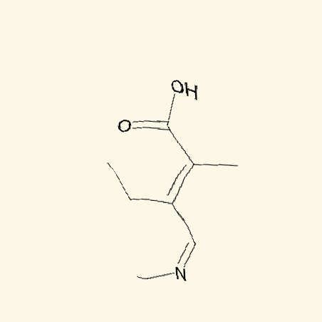 CCC(/C=N\C)=C(/C)C(=O)O